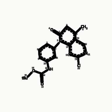 Cc1cc(=O)n(-c2cccc(NC(=O)OC(C)(C)C)c2)c2nc(Cl)ncc12